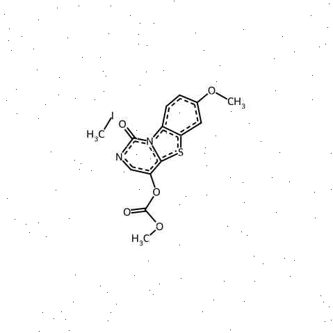 CI.COC(=O)Oc1cnc(=O)n2c1sc1cc(OC)ccc12